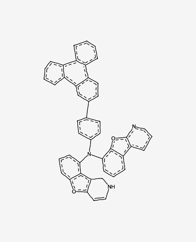 C1=Cc2oc3cccc(N(c4ccc(-c5ccc6c7ccccc7c7ccccc7c6c5)cc4)c4cccc5c4oc4ncccc45)c3c2CN1